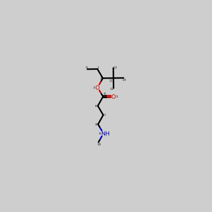 CCC(OC(=O)CCCNC)C(C)(C)C